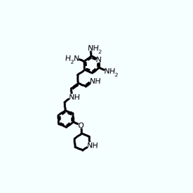 N=C/C(=C\NCc1cccc(OC2CCCNC2)c1)Cc1cc(N)nc(N)c1N